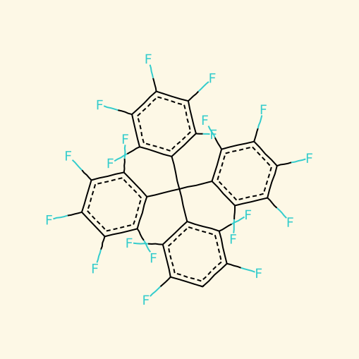 Fc1cc(F)c(F)c(C(c2c(F)c(F)c(F)c(F)c2F)(c2c(F)c(F)c(F)c(F)c2F)c2c(F)c(F)c(F)c(F)c2F)c1F